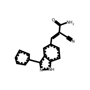 N#C/C(=C\c1ccc2[nH]nc(-c3ccccc3)c2c1)C(N)=O